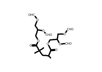 CC(CC(C)(C)C(=O)OCC(COC=O)OC=O)C(=O)OCC(COC=O)OC=O